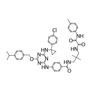 Cc1ccc(NC(=O)C(=O)NCC(C)(C)CNC(=O)c2ccc(Nc3nc(NC4(c5ccc(Cl)cc5)CC4)nc(OCc4ccc(C(C)C)cc4)n3)cc2)cc1